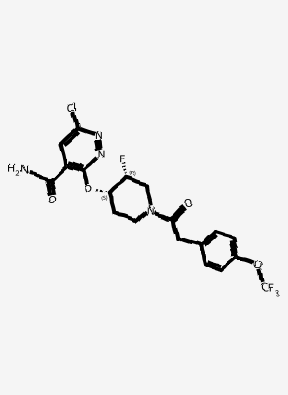 NC(=O)c1cc(Cl)nnc1O[C@H]1CCN(C(=O)Cc2ccc(OC(F)(F)F)cc2)C[C@H]1F